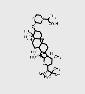 CC(=O)O[C@@H](C1C[C@@H](C)[C@H]2C(O1)[C@H](O)[C@@]1(C)C3CC[C@H]4C(C)(C)C(O[C@H]5CN(C(C)C(=O)O)CCO5)CCC45CC35CCC21C)C(C)(C)O